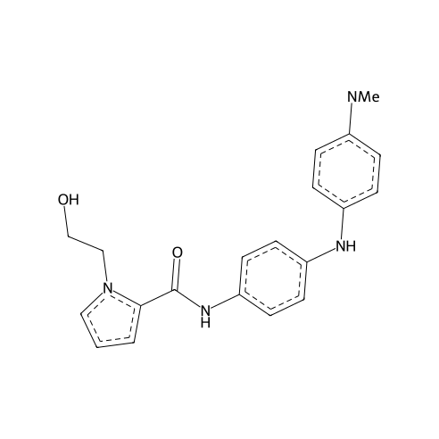 CNc1ccc(Nc2ccc(NC(=O)c3cccn3CCO)cc2)cc1